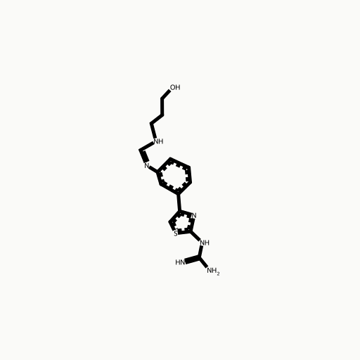 N=C(N)Nc1nc(-c2cccc(/N=C\NCCCO)c2)cs1